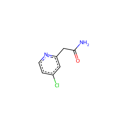 NC(=O)Cc1cc(Cl)ccn1